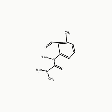 Cc1cccc(N(N)C(=O)N(C)N)c1C=O